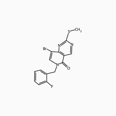 CSc1ncc2c(=O)n(Cc3ccccc3F)cc(Br)c2n1